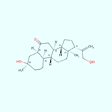 C=C(CO)[C@H]1CC[C@H]2[C@@H]3CC(=O)[C@@H]4C[C@](C)(O)CC[C@@H]4[C@H]3CC[C@]12C